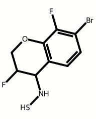 Fc1c(Br)ccc2c1OCC(F)C2NS